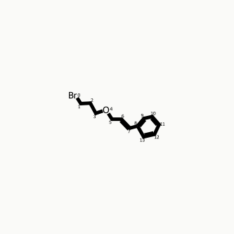 BrCCCOCC=Cc1ccccc1